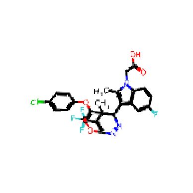 Cc1c(C2N=NC3=C(C(F)(F)F)C2(C)C(Oc2ccc(Cl)cc2)=CO3)c2cc(F)ccc2n1CC(=O)O